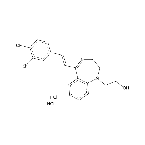 Cl.Cl.OCCN1CCN=C(C=Cc2ccc(Cl)c(Cl)c2)c2ccccc21